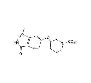 Cc1c[nH]c(=O)c2ccc(OC3CCCN(C(=O)O)C3)cc12